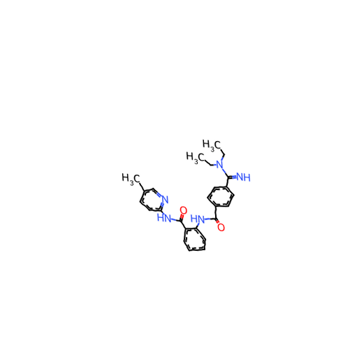 CCN(CC)C(=N)c1ccc(C(=O)Nc2ccccc2C(=O)Nc2ccc(C)cn2)cc1